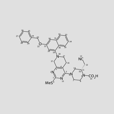 CSc1nc2c(c(N3CCN(C(=O)O)[C@@H](CC#N)C3)n1)CCN(c1cc(OCc3ccccc3)cc3ccccc13)C2